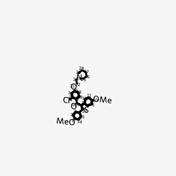 COc1ccc(-c2sc3cc(OC)ccc3c2C(=O)c2ccc(OCCN3CCCCC3)cc2Cl)cc1